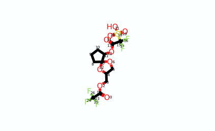 O=C(OCC1COC2(CCCC2OC(=O)C(F)(F)S(=O)(=O)O)O1)C(F)(F)F